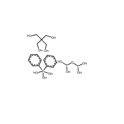 OCC(CO)(CO)CO.OP(O)(O)(c1ccccc1)c1ccccc1.OP(O)OP(O)O